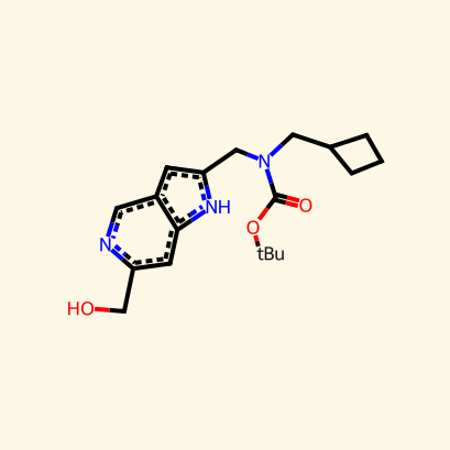 CC(C)(C)OC(=O)N(Cc1cc2cnc(CO)cc2[nH]1)CC1CCC1